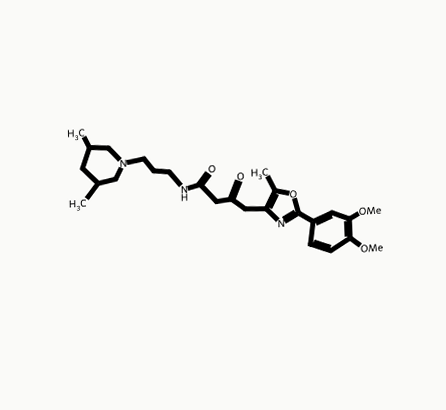 COc1ccc(-c2nc(CC(=O)CC(=O)NCCCN3CC(C)CC(C)C3)c(C)o2)cc1OC